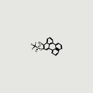 O=S(=O)(Oc1cc(-c2ccccc2)c2c(-c3ccccc3)cccc2c1Br)C(F)(F)F